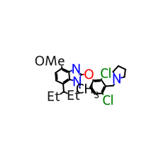 CCC(CC)c1ccc(OC)c2nc(Oc3ccc(Cl)c(CN4CCCC4)c3Cl)n(C)c12